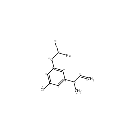 [CH2]C(C=C)c1cc(Cl)cc(OC(F)F)c1